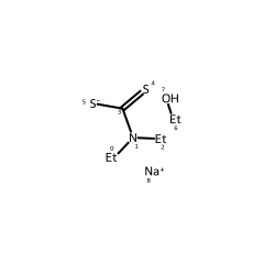 CCN(CC)C(=S)[S-].CCO.[Na+]